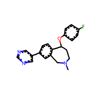 CN1CCC(Oc2ccc(F)cc2)c2ccc(-c3cncnc3)cc2C1